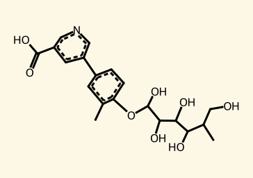 Cc1cc(-c2cncc(C(=O)O)c2)ccc1OC(O)C(O)C(O)C(O)C(C)CO